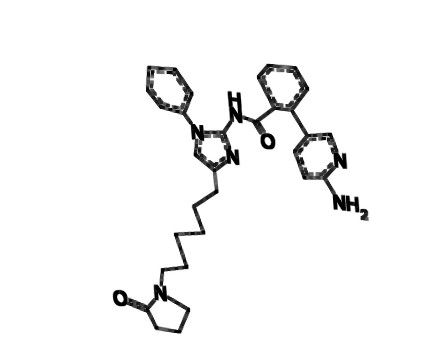 Nc1ccc(-c2ccccc2C(=O)Nc2nc(CCCCCCN3CCCC3=O)cn2-c2ccccc2)cn1